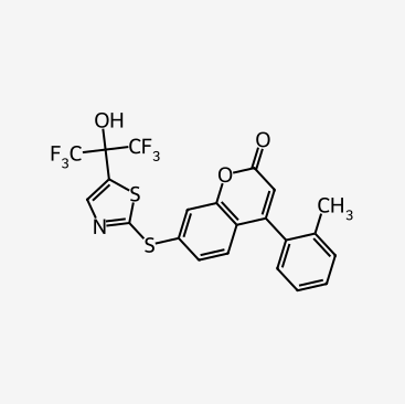 Cc1ccccc1-c1cc(=O)oc2cc(Sc3ncc(C(O)(C(F)(F)F)C(F)(F)F)s3)ccc12